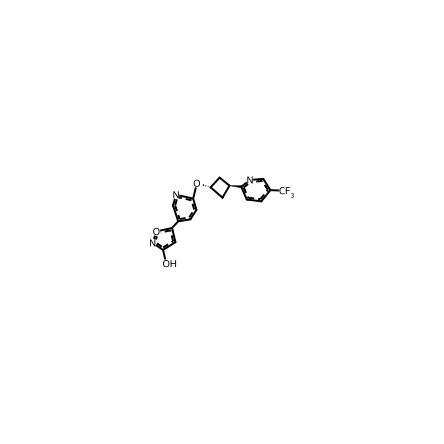 Oc1cc(-c2ccc(O[C@H]3C[C@H](c4ccc(C(F)(F)F)cn4)C3)nc2)on1